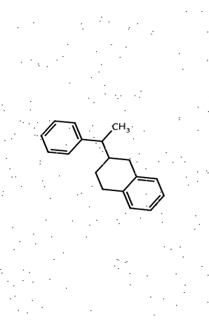 CC(c1ccccc1)C1CCc2ccccc2C1